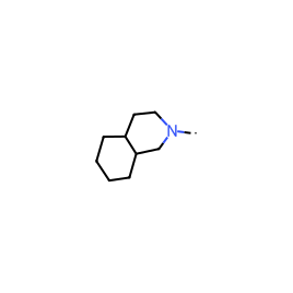 [CH2]N1CCC2CCCCC2C1